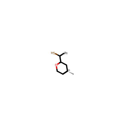 CC(C)C(S)C1C[C@H](C)CCO1